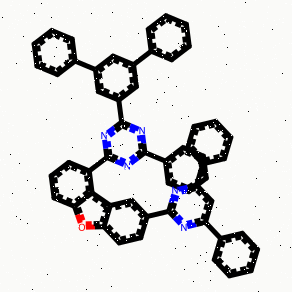 c1ccc(-c2cc(-c3ccccc3)cc(-c3nc(-c4ccccc4)nc(-c4cccc5oc6ccc(-c7nc(-c8ccccc8)cc(-c8ccccc8)n7)cc6c45)n3)c2)cc1